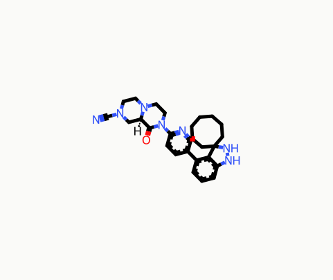 N#CN1CCN2CCN(c3ccc(-c4cccc5c4C4(CCCCCCC4)NN5)cn3)C(=O)[C@H]2C1